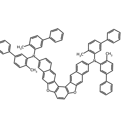 Cc1ccc(-c2ccccc2)cc1N(c1ccc2cc3c(cc2c1)oc1ccc2oc4cc5cc(N(c6cc(-c7ccccc7)ccc6C)c6cc(-c7ccccc7)ccc6C)ccc5cc4c2c13)c1cc(-c2ccccc2)ccc1C